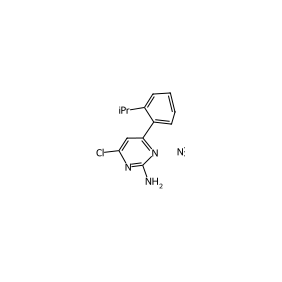 CC(C)c1ccccc1-c1cc(Cl)nc(N)n1.[N]